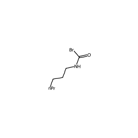 CCCCCCNC(=O)Br